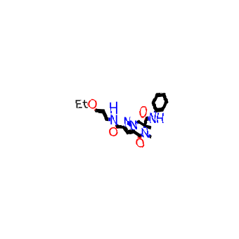 CCOCCCNC(=O)c1cc2n(n1)CC(C)(C(=O)NC1CCCCC1)N(C)C2=O